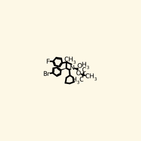 CC(C)(C)OC(=O)N1C[C@](C)(c2ccc(F)cc2)[C@H](c2ccc(Br)cc2)C1C1CCCCC1